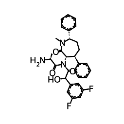 C[C@H](N)C(=O)N(C(=O)[C@H](O)c1cc(F)cc(F)c1)[C@@H]1C(=O)N(C)[C@H](c2ccccc2)CC[C@H]1c1ccccc1